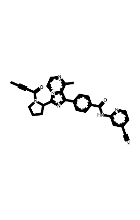 CC#CC(=O)N1CCCC1c1nc(-c2ccc(C(=O)Nc3cc(C#N)ccn3)cc2)c2c(C)nccn12